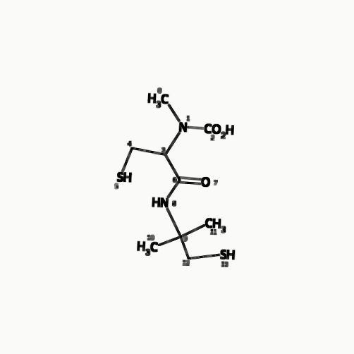 CN(C(=O)O)C(CS)C(=O)NC(C)(C)CS